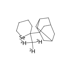 [2H]C([2H])([2H])C1(C23CC4CC(CC(C4)C2)C3)CCCC[Se]1